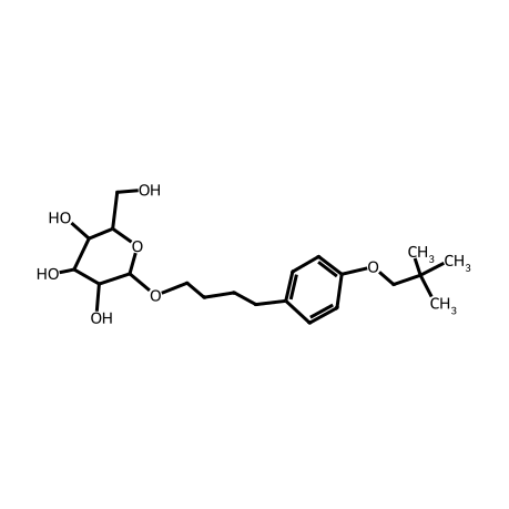 CC(C)(C)COc1ccc(CCCCOC2OC(CO)C(O)C(O)C2O)cc1